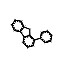 [c]1ccc(-c2cccc3c2Cc2ccccc2-3)cc1